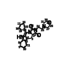 O=C1C2Cc3c([nH]c4ccccc34)C(c3ccccc3)N2C(=O)N1CCN1CCOCC1